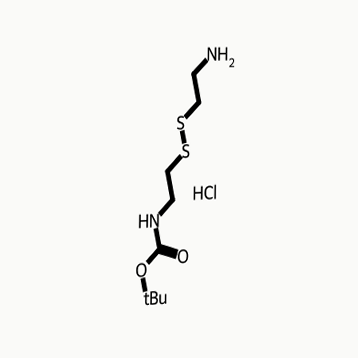 CC(C)(C)OC(=O)NCCSSCCN.Cl